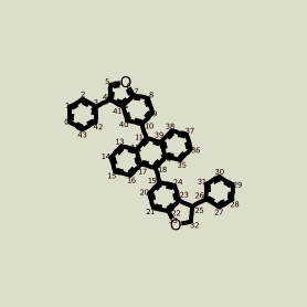 c1ccc(-c2coc3ccc(-c4c5ccccc5c(-c5ccc6c(c5)C(c5ccccc5)CO6)c5ccccc45)cc23)cc1